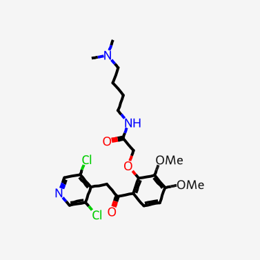 COc1ccc(C(=O)Cc2c(Cl)cncc2Cl)c(OCC(=O)NCCCCN(C)C)c1OC